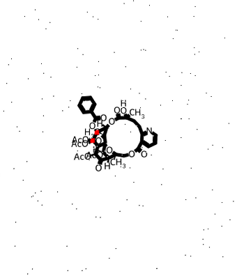 CC(=O)OC[C@]12[C@H](OC(C)=O)C(=O)[C@@H]3[C@@H](OC(C)=O)[C@@]14O[C@@]3(C)COC(=O)c1cccnc1CCC(C)(O)C(=O)O[C@@H]([C@H](OC(=O)c1ccccc1)[C@@H]2OC(C)=O)[C@]4(C)O